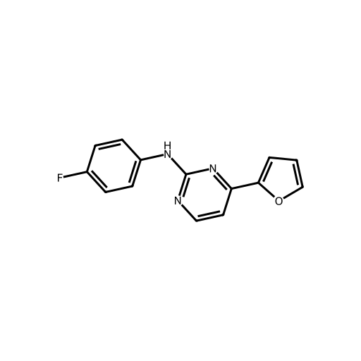 Fc1ccc(Nc2nccc(-c3ccco3)n2)cc1